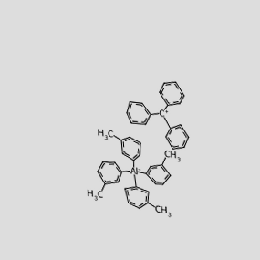 Cc1ccc[c]([Al-]([c]2cccc(C)c2)([c]2cccc(C)c2)[c]2cccc(C)c2)c1.c1ccc([C+](c2ccccc2)c2ccccc2)cc1